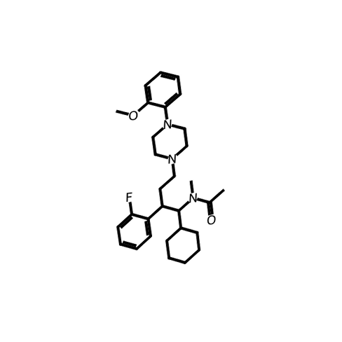 COc1ccccc1N1CCN(CCC(c2ccccc2F)C(C2CCCCC2)N(C)C(C)=O)CC1